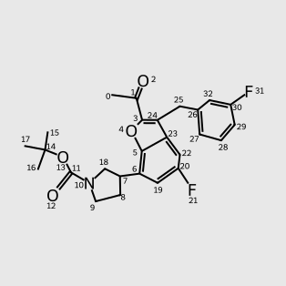 CC(=O)c1oc2c(C3CCN(C(=O)OC(C)(C)C)C3)cc(F)cc2c1Cc1cccc(F)c1